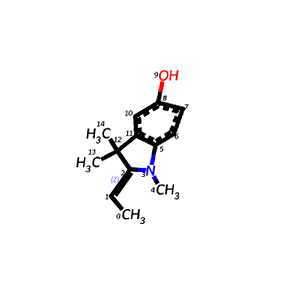 C/C=C1\N(C)c2ccc(O)cc2C1(C)C